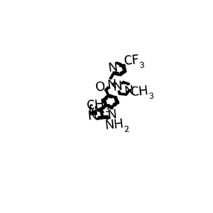 CN1CCN(N(Cc2ccc(C(F)(F)F)cn2)C(=O)c2ccc3nc(N)c4cnn(C)c4c3c2)CC1